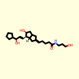 O=C(CCC/C=C1\CC2C[C@H](O)[C@H](/C=C/[C@@H](O)C3CCCC3)[C@H]2C1)NCCCO